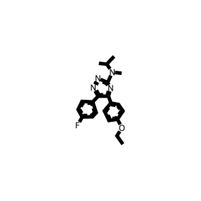 CCOc1ccc(-c2nc(N(C)C(C)C)nnc2-c2ccc(F)cc2)cc1